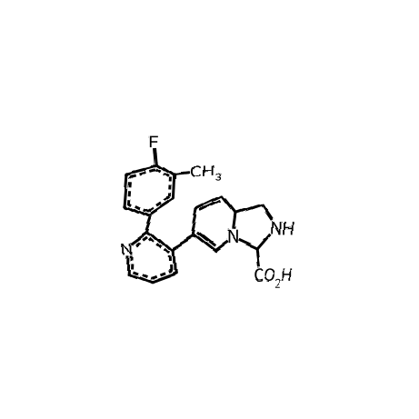 Cc1cc(-c2ncccc2C2=CN3C(C=C2)CNC3C(=O)O)ccc1F